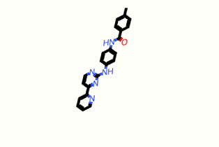 Cc1ccc(C(=O)Nc2ccc(Nc3nccc(-c4ccccn4)n3)cc2)cc1